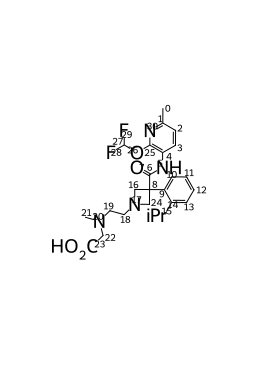 Cc1ccc(NC(=O)C2(c3ccccc3C(C)C)CN(CCN(C)CC(=O)O)C2)c(OC(F)F)n1